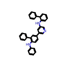 c1ccc(Nc2ccc(-c3cncc(Nc4ccccc4-c4ccccc4)c3)cc2-c2ccccc2)cc1